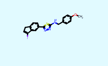 COc1ccc(CNc2nnc(-c3ccc4c(c3)C(I)=CC4)s2)cc1